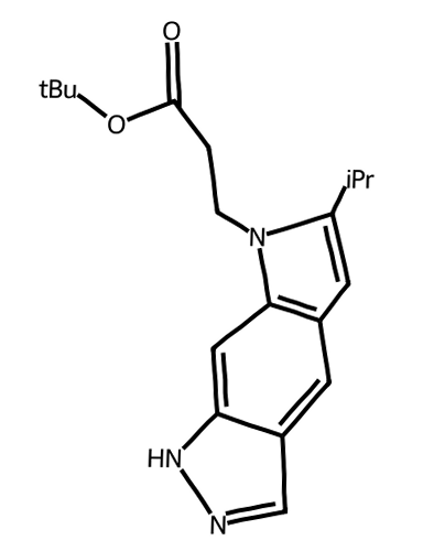 CC(C)c1cc2cc3cn[nH]c3cc2n1CCC(=O)OC(C)(C)C